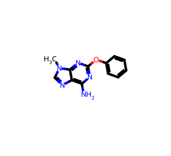 Cn1cnc2c(N)nc(Oc3ccccc3)nc21